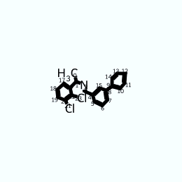 CC(N=Cc1cccc(-c2ccccc2)c1)c1cccc(Cl)c1Cl